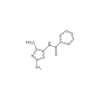 CCOC(=O)c1nc(C)sc1NC(=O)c1ccccc1